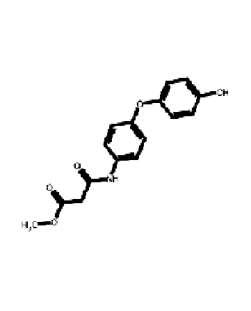 COC(=O)CC(=O)Nc1ccc(Oc2ccc(O)cc2)cc1